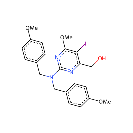 COc1ccc(CN(Cc2ccc(OC)cc2)c2nc(CO)c(I)c(OC)n2)cc1